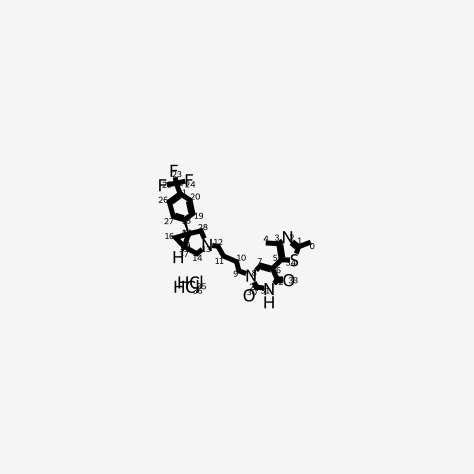 Cc1nc(C)c(-c2cn(CCCCN3C[C@@H]4C[C@]4(c4ccc(C(F)(F)F)cc4)C3)c(=O)[nH]c2=O)s1.Cl.Cl